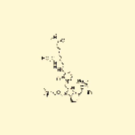 CC(C)C(O[Si](C)(C)C(C)(C)C)c1cccc2c1nc(Cn1cccc(NC[C@H](CC/C=C/C(=O)N(C)C)NC(=O)O)c1=O)n2COCC[Si](C)(C)C